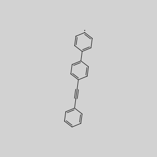 C(#Cc1ccc(-c2cc[c]cc2)cc1)c1ccccc1